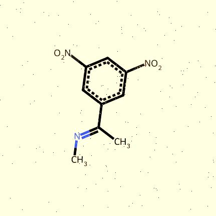 C/N=C(\C)c1cc([N+](=O)[O-])cc([N+](=O)[O-])c1